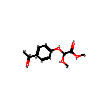 COC(=O)C(OC)Oc1ccc(C(C)=O)cc1